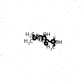 CCc1cc(CCC2(C3CCCC3)CC(O)=C(Cc3nc4cc(C)cc(C)n4n3)C(=O)O2)cc(F)c1O